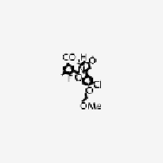 COCCCOc1cc2c(cc1Cl)-c1cc(=O)c(C(=O)O)cn1C(c1cccc(C)c1F)O2